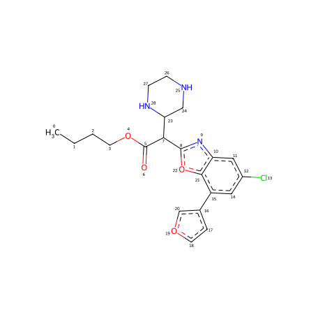 CCCCOC(=O)C(c1nc2cc(Cl)cc(-c3ccoc3)c2o1)C1CNCCN1